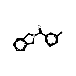 Cc1cc[c]c(C(=O)N2Cc3ccccc3C2)c1